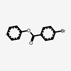 O=C(Oc1cc[c]cc1)c1ccc(Br)cc1